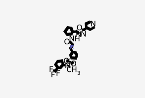 CN(c1cccc(C(F)(F)F)c1)S(=O)(=O)c1cccc(/C=C/C(=O)Nc2ccccc2-c2nnc(-c3ccncc3)o2)c1